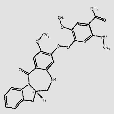 CNc1cc(OOc2cc3c(cc2OC)C(=O)N2c4ccccc4C[C@H]2CN3)c(OC)cc1C(N)=O